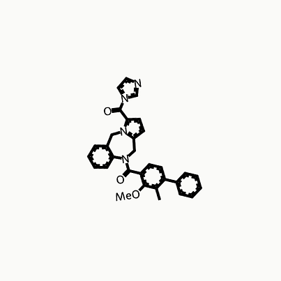 COc1c(C(=O)N2Cc3ccc(C(=O)n4ccnc4)n3Cc3ccccc32)ccc(-c2ccccc2)c1C